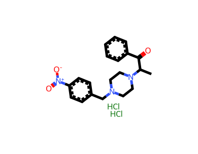 CC(C(=O)c1ccccc1)N1CCN(Cc2ccc([N+](=O)[O-])cc2)CC1.Cl.Cl